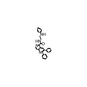 O=C(NCCNc1ccccc1)c1nccc2nc(-c3ccccc3)c(-c3ccccc3)cc12